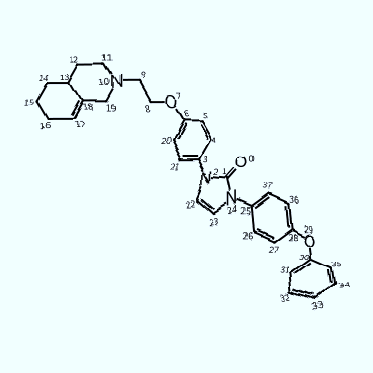 O=c1n(-c2ccc(OCCN3CCC4CCCC=C4C3)cc2)ccn1-c1ccc(Oc2ccccc2)cc1